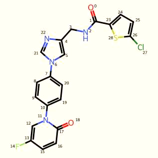 O=C(NCc1cn(-c2ccc(-n3cc(F)ccc3=O)cc2)cn1)c1ccc(Cl)s1